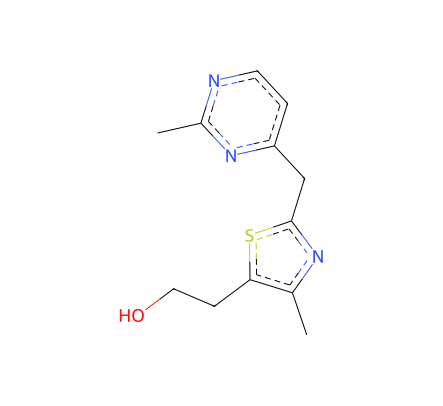 Cc1nccc(Cc2nc(C)c(CCO)s2)n1